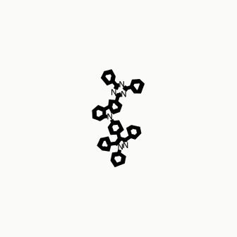 c1ccc(-c2nc(-c3ccccc3)nc(-c3ccc4c(c3)c3ccccc3n4-c3ccc(-c4c(-c5ccccc5)nn(-c5ccccc5)c4-c4ccccc4)cc3)n2)cc1